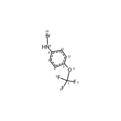 FC(F)(F)Oc1ccc(NBr)cc1